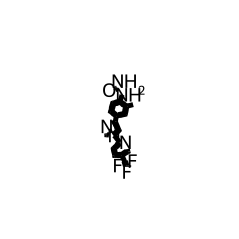 Cc1cc(-c2cn(-c3ccc(C(F)(F)F)cn3)cn2)ccc1NC(N)=O